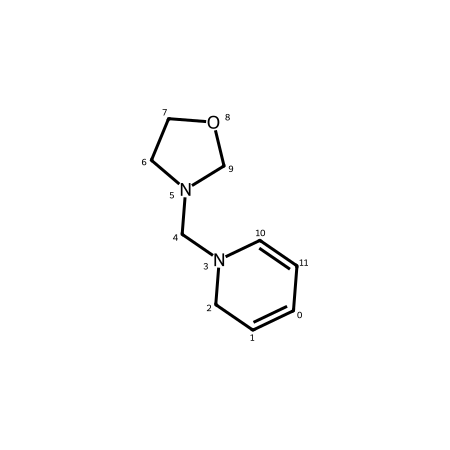 C1=CCN(CN2CCOC2)C=C1